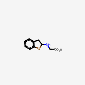 O=C(O)CNC1Cc2ccccc2S1